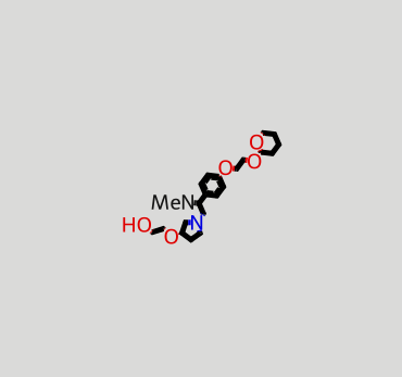 CNC(CN1CC[C@H](OCCO)C1)c1ccc(OCCOC2CCCCO2)cc1